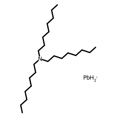 CCCCCCCCN(CCCCCCCC)CCCCCCCC.[PbH2]